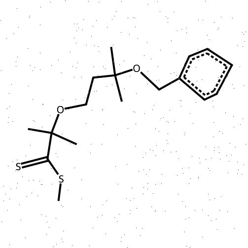 CSC(=S)C(C)(C)OCCC(C)(C)OCc1ccccc1